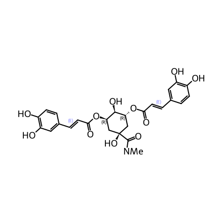 CNC(=O)[C@]1(O)C[C@@H](OC(=O)/C=C/c2ccc(O)c(O)c2)[C@@H](O)[C@H](OC(=O)/C=C/c2ccc(O)c(O)c2)C1